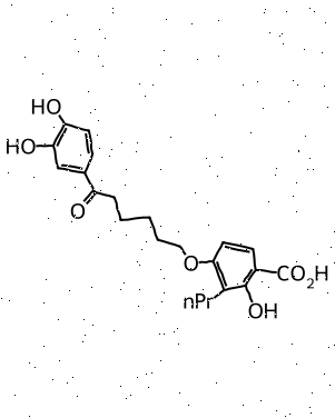 CCCc1c(OCCCCCC(=O)c2ccc(O)c(O)c2)ccc(C(=O)O)c1O